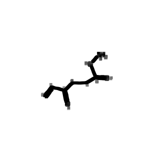 C=CC(=O)CCC(=O)ON